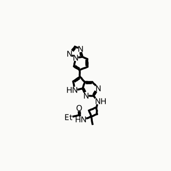 CCC(=O)NC1(C)CC(Nc2ncc3c(-c4ccc5ncnn5c4)c[nH]c3n2)C1